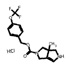 CC12CNC=C1CN(C(=O)OCc1ccc(OC(F)(F)F)cc1)C2.Cl